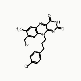 Cc1cc2nc3c(=O)[nH]c(=O)nc-3n(CCCc3ccc(Cl)cc3)c2cc1CBr